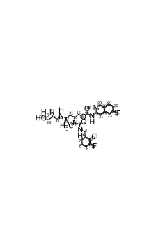 CN(C(=O)NCc1cccc(F)c1Cl)[C@H](COC(=O)Nc1cc2cc(F)ccc2cn1)CC(=O)NC[C@@H](N)CO